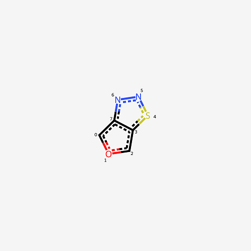 c1occ2snnc12